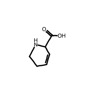 O=C(O)C1C=CCCN1